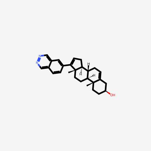 C[C@]12CC[C@H](O)CC1=CC[C@@H]1[C@@H]2CC[C@]2(C)C(c3ccc4cnncc4c3)=CC[C@@H]12